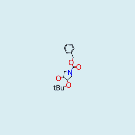 CC(C)(C)OC1CN(C(=O)OCc2ccccc2)CC1=O